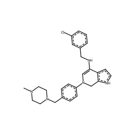 CN1CCN(Cc2ccc(N3C=C(NCc4cccc(Cl)c4)c4cc[nH]c4C3)cc2)CC1